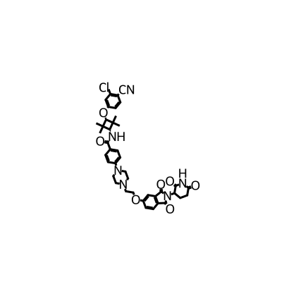 CC1(C)[C@H](NC(=O)c2ccc(N3CCN(CCOc4ccc5c(c4)C(=O)N(C4CCC(=O)NC4=O)C5=O)CC3)cc2)C(C)(C)[C@H]1Oc1ccc(C#N)c(Cl)c1